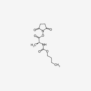 CCCCOC(=O)N[C@@H](C)C(=O)ON1C(=O)CCC1=O